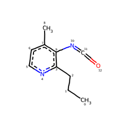 CCCc1nccc(C)c1N=C=O